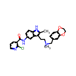 Cc1[nH]c2ccc(NC(=O)c3cccnc3Cl)cc2c1CCN(C)Cc1ccc2c(c1)OCCO2